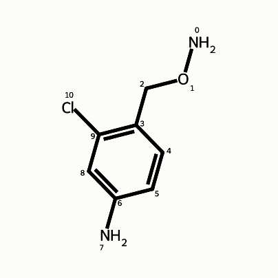 NOCc1ccc(N)cc1Cl